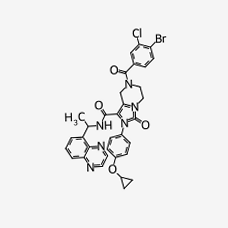 CC(NC(=O)c1c2n(c(=O)n1-c1ccc(OC3CC3)cc1)CCN(C(=O)c1ccc(Br)c(Cl)c1)C2)c1cccc2nccnc12